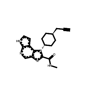 C#CC[C@H]1CC[C@H](n2c(C(=O)NC)nc3cnc4[nH]ccc4c32)CC1